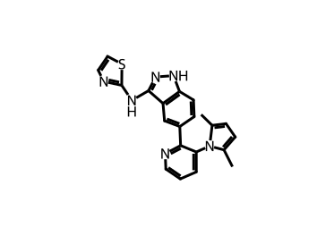 Cc1ccc(C)n1-c1cccnc1-c1ccc2[nH]nc(Nc3nccs3)c2c1